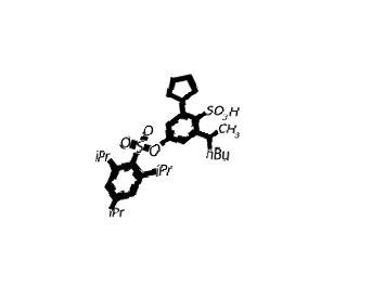 CCCCC(C)c1cc(OS(=O)(=O)c2c(C(C)C)cc(C(C)C)cc2C(C)C)cc(C2CCCC2)c1S(=O)(=O)O